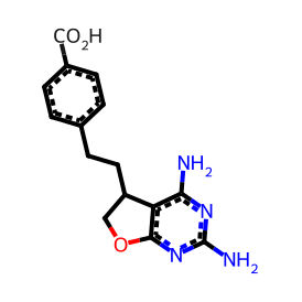 Nc1nc(N)c2c(n1)OCC2CCc1ccc(C(=O)O)cc1